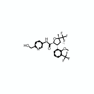 COc1c([C@@H]2[C@@H](C(=O)Nc3ccc(CO)nc3)O[C@](C)(C(F)(F)F)[C@@H]2C)cccc1C(F)(F)F